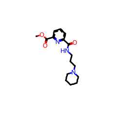 COC(=O)c1cccc(C(=O)NCCCN2CCCCC2)n1